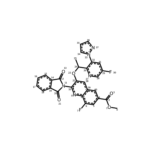 COC(=O)c1cc(F)c2nc(N3C(=O)c4ccccc4C3=O)c(OC(C)c3ncc(F)cc3-n3cccn3)cc2c1